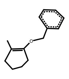 CC1=C(OCc2ccccc2)CCCC1